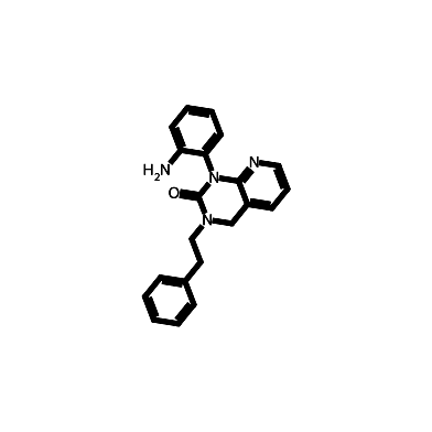 Nc1ccccc1N1C(=O)N(CCc2ccccc2)Cc2cccnc21